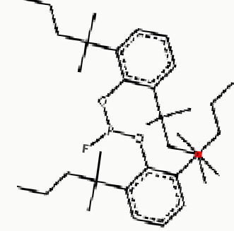 CCCC(C)(C)c1cccc(C(C)(C)CCC)c1OP(F)Oc1c(C(C)(C)CCC)cccc1C(C)(C)CCC